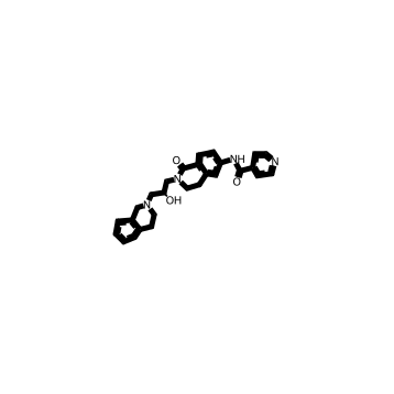 O=C(Nc1ccc2c(c1)CCN(C[C@H](O)CN1CCc3ccccc3C1)C2=O)c1ccncc1